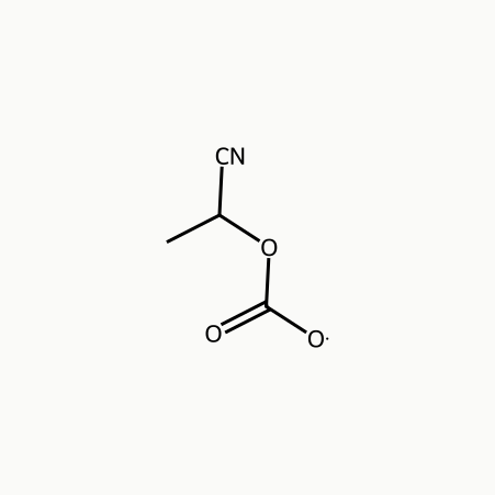 CC(C#N)OC([O])=O